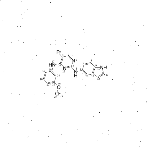 Fc1cnc(Nc2ccc3[nH]ncc3c2)nc1Nc1cccc(OC(F)(F)F)c1